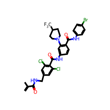 C=C(C)C(=O)NCc1cc(Cl)c(C(=O)Nc2ccc(C(=O)Nc3ccc(Br)cc3)c(N3CCC(C(F)(F)F)CC3)c2)c(Cl)c1